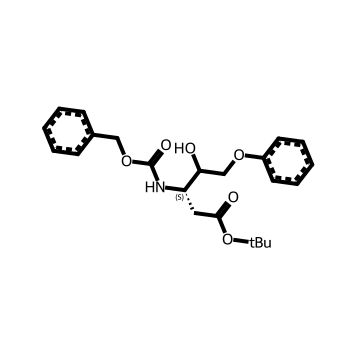 CC(C)(C)OC(=O)C[C@H](NC(=O)OCc1ccccc1)C(O)COc1ccccc1